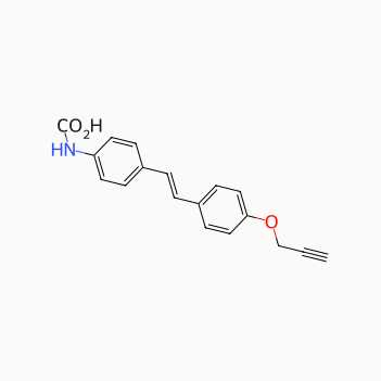 C#CCOc1ccc(C=Cc2ccc(NC(=O)O)cc2)cc1